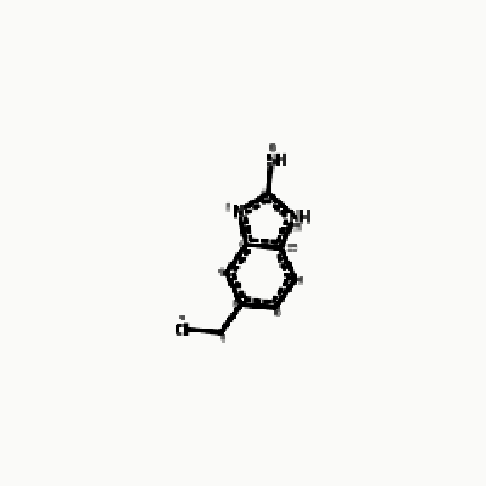 Sc1nc2cc(CCl)ccc2[nH]1